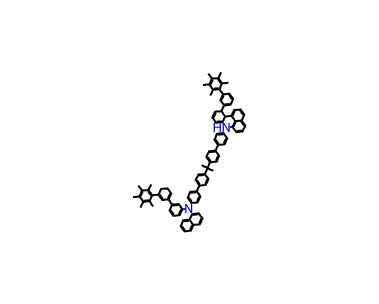 Cc1c(C)c(C)c(C2=CC(c3cccc(N(c4ccc(-c5ccc(C(C)(C)c6ccc(-c7ccc(Nc8cccc9cccc(C%10C=CC=CC%10c%10cccc(-c%11c(C)c(C)c(C)c(C)c%11C)c%10)c89)cc7)cc6)cc5)cc4)c4cccc5ccccc45)c3)=CCC2)c(C)c1C